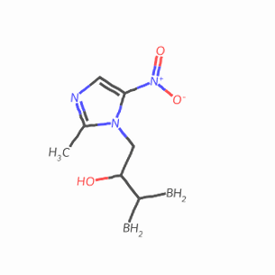 BC(B)C(O)Cn1c([N+](=O)[O-])cnc1C